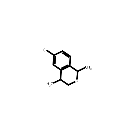 CC1COC(C)c2ccc(Cl)cc21